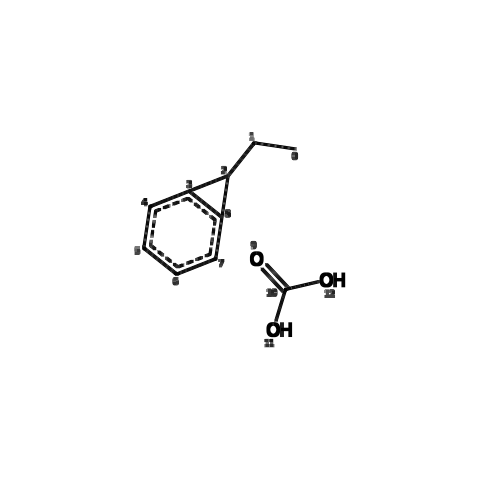 CCC1c2ccccc21.O=C(O)O